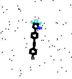 CCc1ccc(C#Cc2ccc(C3CC(F)(F)C(F)(F)N3)cc2)cc1